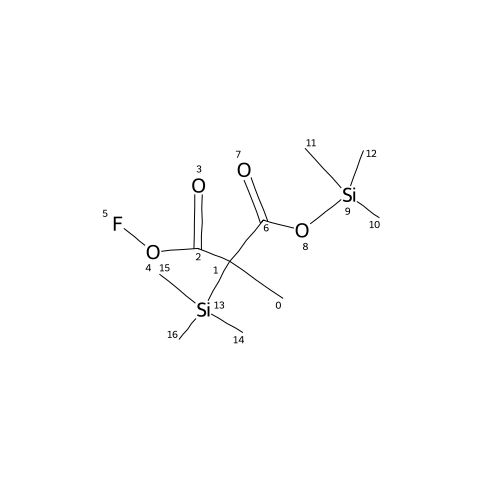 CC(C(=O)OF)(C(=O)O[Si](C)(C)C)[Si](C)(C)C